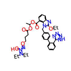 CCOc1nc2cccc(C(=O)OC(C)OC(=O)CCCO/N=[N+](\O)N(CC)CC)c2n1Cc1ccc(-c2ccccc2-c2nnn[nH]2)cc1